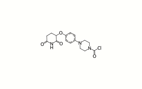 O=C1CCC(Oc2ccc(N3CCN(C(=O)Cl)CC3)cc2)C(=O)N1